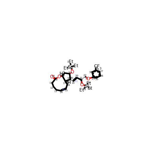 CC[Si](CC)(CC)OC1C[C@@H]2OC(=O)CCC/C=C\C[C@@H]2[C@H]1/C=C/[C@H](COc1cccc(C(F)(F)F)c1)O[Si](CC)(CC)CC